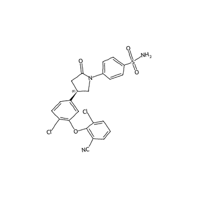 N#Cc1cccc(Cl)c1Oc1cc([C@H]2CC(=O)N(c3ccc(S(N)(=O)=O)cc3)C2)ccc1Cl